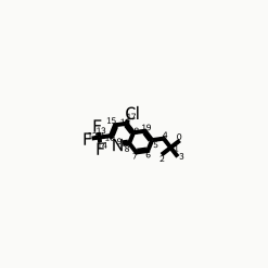 CC(C)(C)Cc1ccc2nc(C(F)(F)F)cc(Cl)c2c1